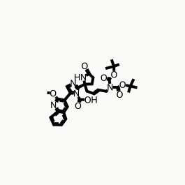 COc1nc2ccccc2cc1-c1cnc(C2(C/C=C/CN(C(=O)OC(C)(C)C)C(=O)OC(C)(C)C)CCC(=O)N2)n1C(=O)O